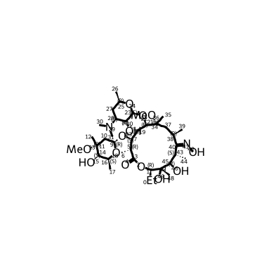 CC[C@H]1OC(=O)[C@H](C)[C@@H](O[C@H]2C[C@@](C)(OC)[C@@H](O)[C@H](C)O2)[C@H](C)[C@@H](O[C@@H]2O[C@H](C)C[C@H](N(C)C)[C@H]2O)[C@](C)(OC)C[C@@H](C)C(=NO)[C@H](C)[C@@H](O)[C@]1(C)O